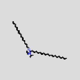 CCCCCCCCCCCCCCCCCCCC1N(CCCCCCCCCCCCCCCCC)C=CN1C(C)C